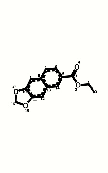 CCOC(=O)c1ccc2cc3c(cc2c1)OCO3